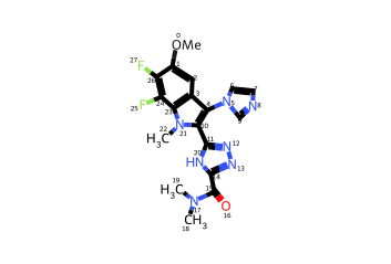 COc1cc2c(-n3ccnc3)c(-c3nnc(C(=O)N(C)C)[nH]3)n(C)c2c(F)c1F